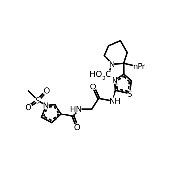 CCCC1(c2csc(NC(=O)CNC(=O)c3ccn(S(C)(=O)=O)c3)n2)CCCCN1C(=O)O